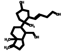 C=C1CCC2C(CO)C(C3(C)CCC(O)CC3C=CCCO)CCC12C